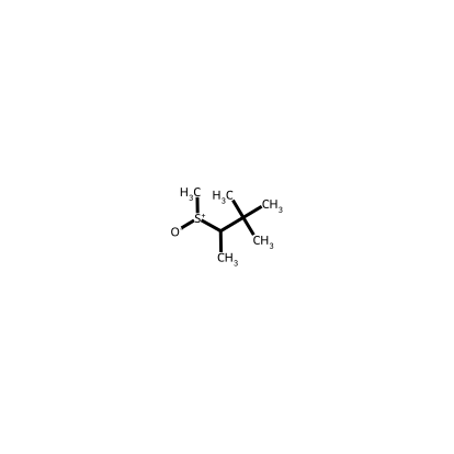 CC([S+](C)[O-])C(C)(C)C